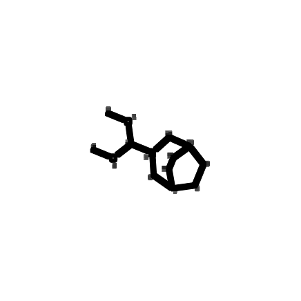 COC(OC)N1CC2CCC(CC2)C1